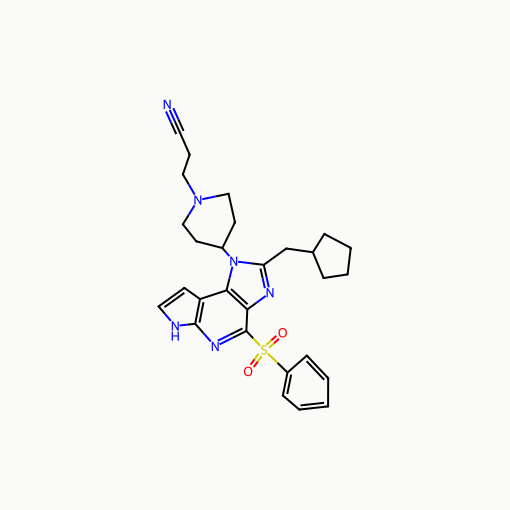 N#CCCN1CCC(n2c(CC3CCCC3)nc3c(S(=O)(=O)c4ccccc4)nc4[nH]ccc4c32)CC1